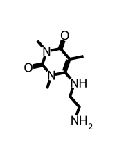 Cc1c(NCCN)n(C)c(=O)n(C)c1=O